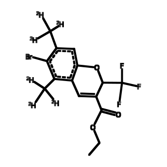 [2H]C([2H])([2H])c1cc2c(c(C([2H])([2H])[2H])c1Br)C=C(C(=O)OCC)C(C(F)(F)F)O2